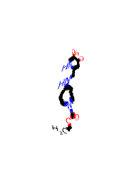 CCOC(=O)N1CCC(NCc2cc(=O)c(O)c[nH]2)CC1